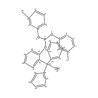 Cc1cccc(OP(Oc2cccc(C)c2)Oc2ccccc2C(O)(c2ccccc2)c2ccccc2)c1